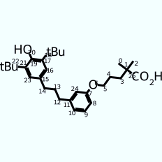 CC(C)(CCCOc1cccc(CCCc2cc(C(C)(C)C)c(O)c(C(C)(C)C)c2)c1)C(=O)O